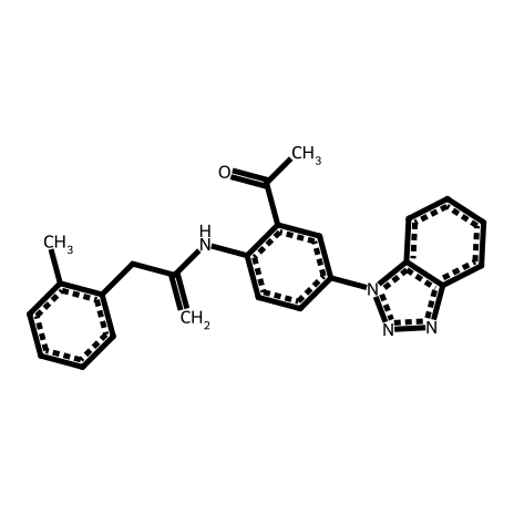 C=C(Cc1ccccc1C)Nc1ccc(-n2nnc3ccccc32)cc1C(C)=O